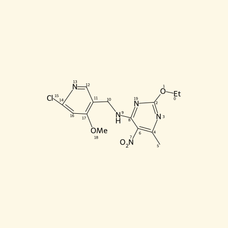 CCOc1nc(C)c([N+](=O)[O-])c(NCc2cnc(Cl)cc2OC)n1